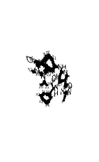 Cc1noc(-c2cnc(Nc3ccc4c(=O)n(C)n(C(C)C)c4c3)cc2N[C@H](CO)c2ccccc2)n1